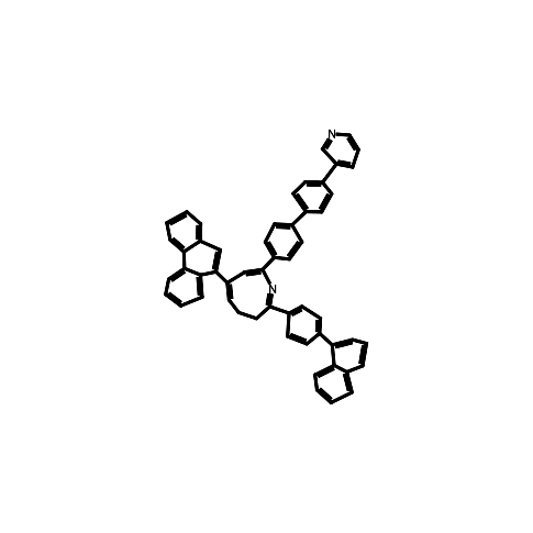 C1=C(c2ccc(-c3ccc(-c4cccnc4)cc3)cc2)\N=C(\c2ccc(-c3cccc4ccccc34)cc2)CC\C=C/1c1cc2ccccc2c2ccccc12